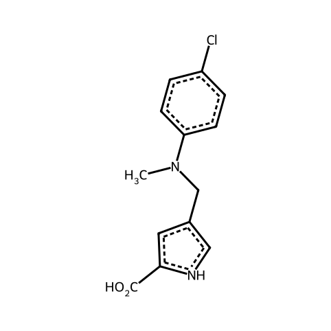 CN(Cc1c[nH]c(C(=O)O)c1)c1ccc(Cl)cc1